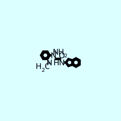 C=Nc1ccccc1N(N)CC(=O)NC1Cc2ccccc2C1